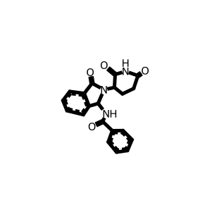 O=C1CCC(N2C(=O)c3ccccc3C2NC(=O)c2ccccc2)C(=O)N1